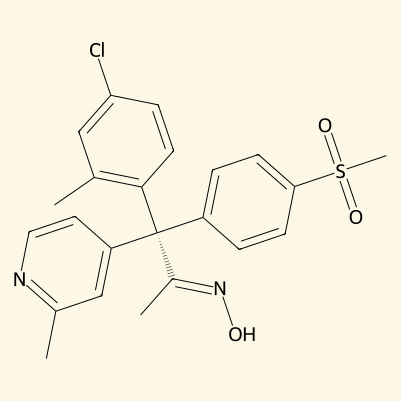 CC(=NO)[C@](c1ccc(S(C)(=O)=O)cc1)(c1ccnc(C)c1)c1ccc(Cl)cc1C